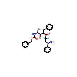 CCC(C)C(NC(=O)OCc1ccccc1)C(=O)C(Cc1ccccc1)C(=O)C(F)(F)CC(N)c1ccccc1